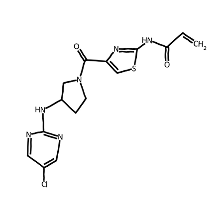 C=CC(=O)Nc1nc(C(=O)N2CCC(Nc3ncc(Cl)cn3)C2)cs1